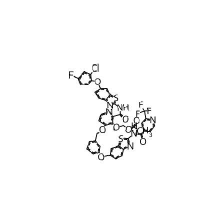 CC(=O)OCOc1c(OCc2cccc(Oc3ccc4nc(NC(=O)c5ccnc(C(F)(F)F)c5)sc4c3)c2)ccnc1C(=O)Nc1nc2ccc(Oc3ccc(F)cc3Cl)cc2s1